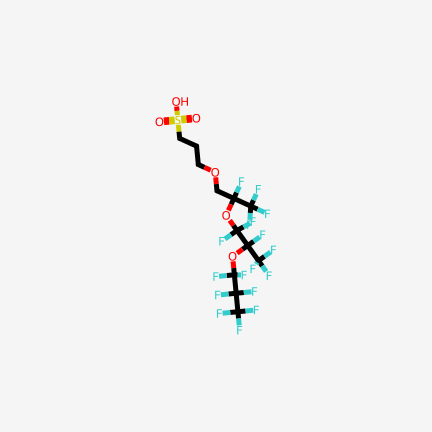 O=S(=O)(O)CCCOCC(F)(OC(F)(F)C(F)(OC(F)(F)C(F)(F)C(F)(F)F)C(F)(F)F)C(F)(F)F